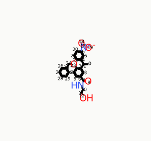 CC(c1cccc(C(=O)NCCO)c1)c1cc([N+](=O)[O-])ccc1OCc1ccccc1